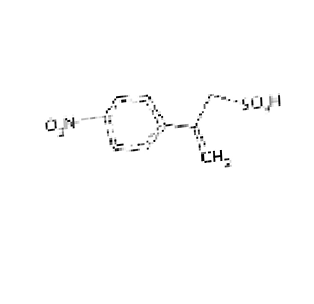 C=C(CS(=O)(=O)O)c1ccc([N+](=O)[O-])cc1